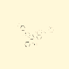 N#Cc1c(-c2cccc(C(=O)NCC3CCCCN3)c2)cc(-c2ccccc2O)nc1NC(=O)c1ccc(C(F)(F)F)cc1